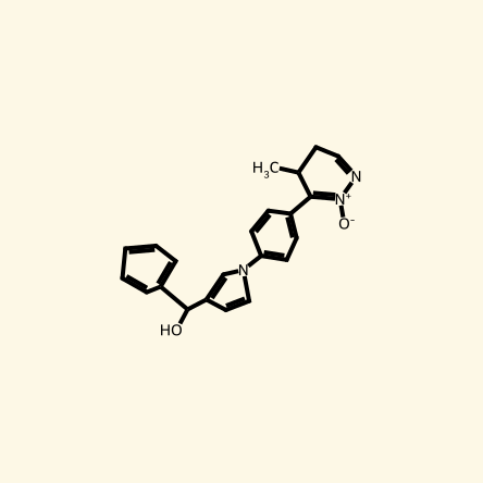 CC1CC=N[N+]([O-])=C1c1ccc(-n2ccc(C(O)c3ccccc3)c2)cc1